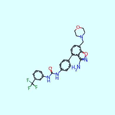 Nc1noc2c(CN3CCOCC3)ccc(-c3ccc(NC(=O)Nc4cccc(C(F)(F)F)c4)cc3)c12